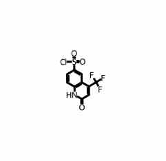 O=c1cc(C(F)(F)F)c2cc(S(=O)(=O)Cl)ccc2[nH]1